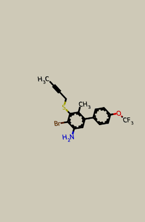 CC#CCSc1c(C)c(-c2ccc(OC(F)(F)F)cc2)cc(N)c1Br